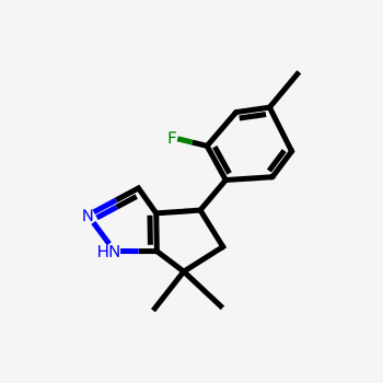 Cc1ccc(C2CC(C)(C)c3[nH]ncc32)c(F)c1